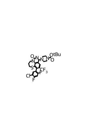 CC(C)(C)OC(=O)N1CCN(c2nc(=O)n3c4c(c(-c5cc(Cl)c(F)cc5F)c(C(F)(F)F)cc24)SCCC3)CC1